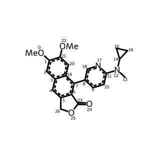 COc1cc2cc3c(c(-c4ccc(N(C)C5CC5)nc4)c2cc1OC)C(=O)OC3